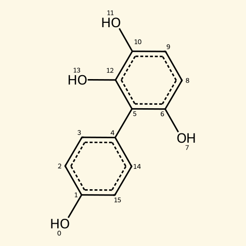 Oc1ccc(-c2c(O)ccc(O)c2O)cc1